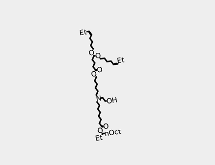 CC/C=C\CCCCOC(CCCC(=O)OCCCCCCN(CCO)CCCCCCCC(=O)OC(CC)CCCCCCCC)OCCCC/C=C\CC